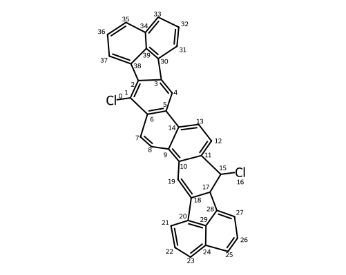 Clc1c2c(cc3c1ccc1c4c(ccc13)C(Cl)C1C(=C4)c3cccc4cccc1c34)-c1cccc3cccc-2c13